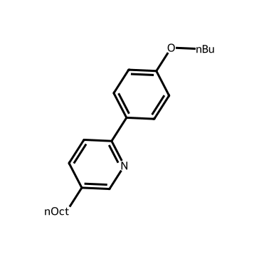 CCCCCCCCc1ccc(-c2ccc(OCCCC)cc2)nc1